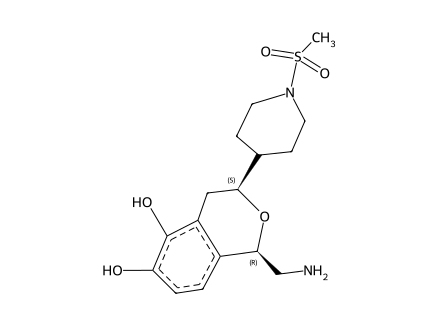 CS(=O)(=O)N1CCC([C@@H]2Cc3c(ccc(O)c3O)[C@H](CN)O2)CC1